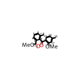 COC(=O)c1cccc(C)c1C(=O)c1ccc(C)cc1OC